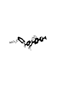 Cc1cc(-c2ccc(C3CC3)nc2)ccc1C(CCC(F)(F)F)Nc1ccc(C(=O)N2CCC[C@@H](C(=O)O)C2)cc1